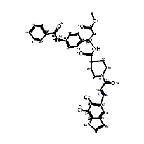 COC(=O)C[C@@H](NC(=O)C1CCN(C(=O)/C=C/c2cc3ccsc3c(Cl)c2Cl)CC1)c1ccc(NC(=O)c2ccccc2)cc1